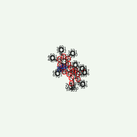 CC(C)[Si](OCC1OC(OC2C(COCc3ccccc3)OC(OC3C(OCc4ccccc4)C(OCc4ccccc4)C(OCc4ccccc4)C4OC(C)(C)OC34)C(N=[N+]=[N-])C2OCc2ccccc2)C(OCc2ccccc2)C(OCc2ccccc2)C1OCc1ccccc1)(C(C)C)C(C)C